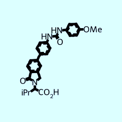 COc1ccc(NC(=O)Nc2ccc(-c3ccc4c(c3)CN(C(C(=O)O)C(C)C)C4=O)cc2)cc1